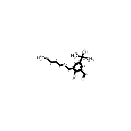 CSCCCSCc1cc(C(C)(C)C)cc(C=O)c1O